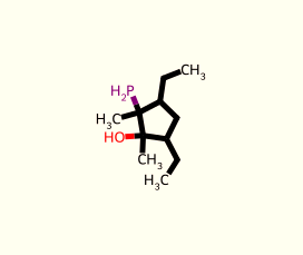 CCC1CC(CC)C(C)(P)C1(C)O